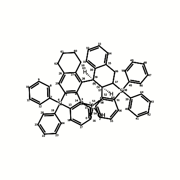 O=P1(O)Oc2c([Si](c3ccccc3)(c3ccccc3)c3ccccc3)cc3c(c2[C@H]2c4ccccc4CC([Si](c4ccccc4)(c4ccccc4)c4ccccc4)[C@H]2O1)CCCC3